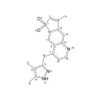 CC1=CS(=O)(=O)c2cc3c(Cc4n[nH]c(C)c4C)ccnc3cc21